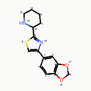 c1cc2c(cc1-c1csc(C3CCCCN3)n1)OCO2